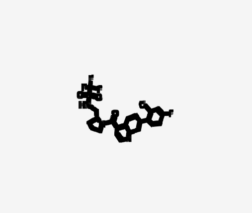 O=C(c1ccnc2cc(-c3ccc(F)cc3Cl)ccc12)N1CCCC1CNS(=O)(=O)C(F)(F)F